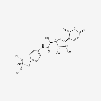 CCOP(=O)(Cc1ccc(NC(=O)C(O)[C@H]2O[C@@H](n3ccc(=O)[nH]c3=O)[C@H](O)[C@@H]2O)cc1)OCC